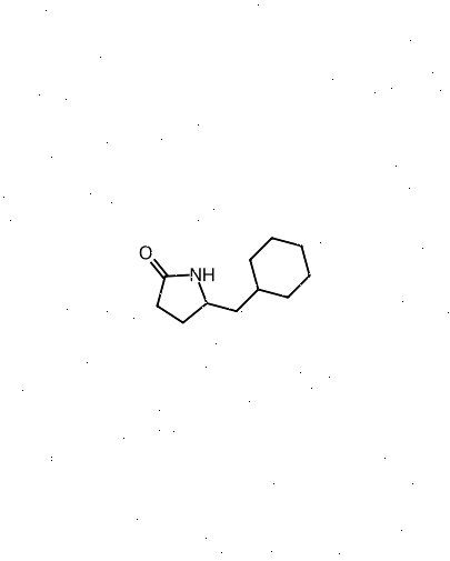 O=C1CCC(CC2CCCCC2)N1